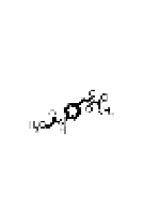 C=CC(=O)Nc1ccc(CS(=O)(=O)C(C)Cl)cc1